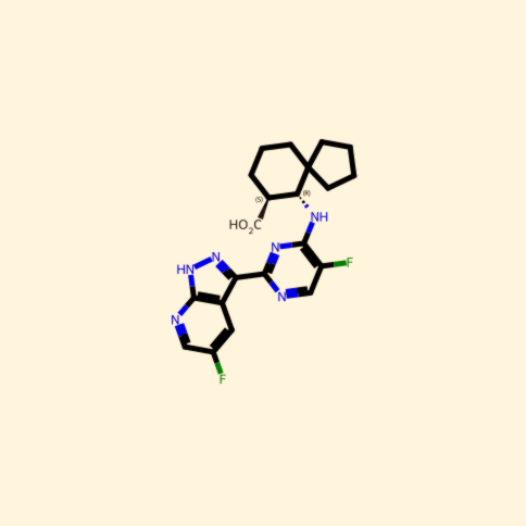 O=C(O)[C@H]1CCCC2(CCCC2)[C@@H]1Nc1nc(-c2n[nH]c3ncc(F)cc23)ncc1F